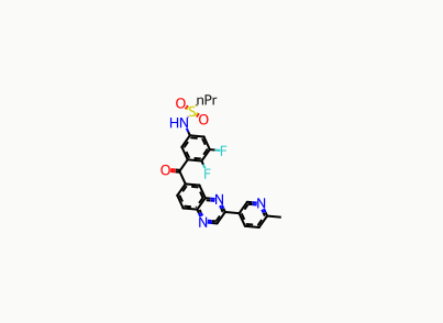 CCCS(=O)(=O)Nc1cc(F)c(F)c(C(=O)c2ccc3ncc(-c4ccc(C)nc4)nc3c2)c1